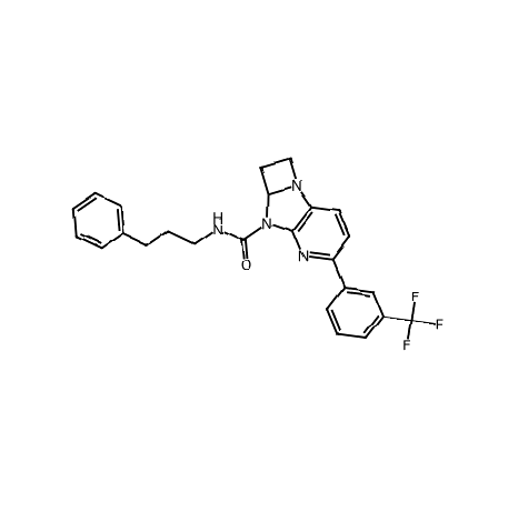 O=C(NCCCc1ccccc1)N1c2nc(-c3cccc(C(F)(F)F)c3)ccc2N2CCC21